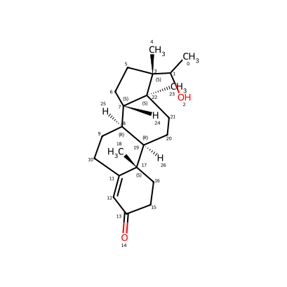 CC(O)[C@@]1(C)CC[C@H]2[C@@H]3CCC4=CC(=O)CC[C@@]4(C)[C@@H]3CC[C@@]21C